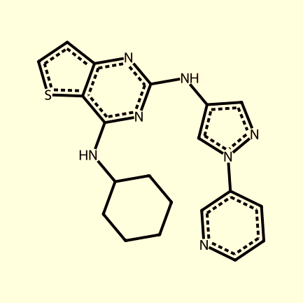 c1cncc(-n2cc(Nc3nc(NC4CCCCC4)c4sccc4n3)cn2)c1